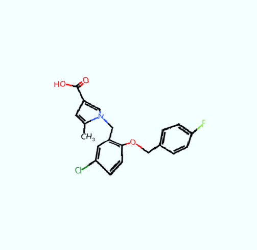 Cc1cc(C(=O)O)cn1Cc1cc(Cl)ccc1OCc1ccc(F)cc1